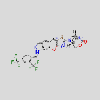 O=C1N[C@@H]2C[C@H](CO1)N(C1=NC(=O)/C(=C\c3ccc4c(cnn4Cc4ccc(C(F)(F)F)cc4C(F)(F)F)c3)S1)C2